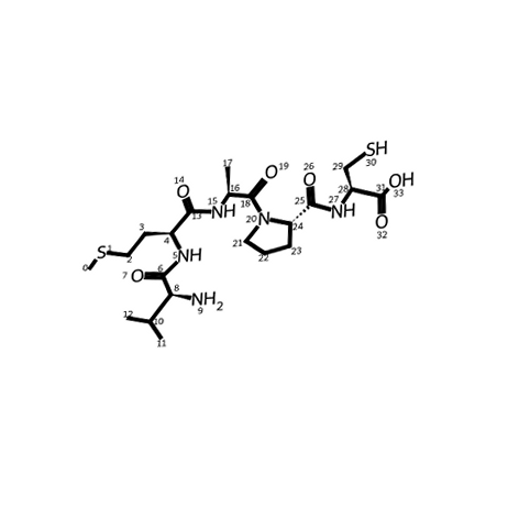 CSCC[C@H](NC(=O)[C@@H](N)C(C)C)C(=O)N[C@@H](C)C(=O)N1CCC[C@H]1C(=O)N[C@@H](CS)C(=O)O